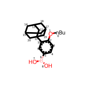 CCCCOc1ccc(B(O)O)cc1C12CC3CC(CC(C3)C1)C2